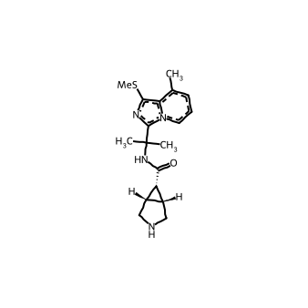 CSc1nc(C(C)(C)NC(=O)[C@@H]2[C@@H]3CNC[C@@H]32)n2cccc(C)c12